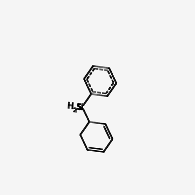 C1=CCC([SiH2]c2ccccc2)C=C1